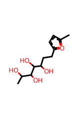 Cc1ccc(CCC(O)C(O)C(O)C(C)O)o1